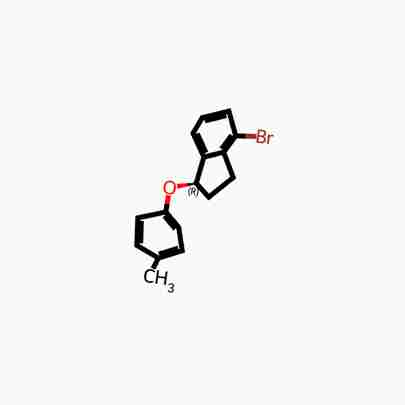 Cc1ccc(O[C@@H]2CCc3c(Br)cccc32)cc1